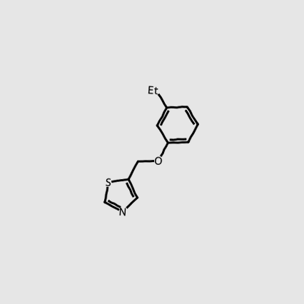 CCc1cccc(OCc2cncs2)c1